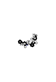 O=C1CCC(N2Cc3c(N/C=C4\C(=O)CC(c5ccccc5)NC4=O)cccc3C2=O)C(=O)N1